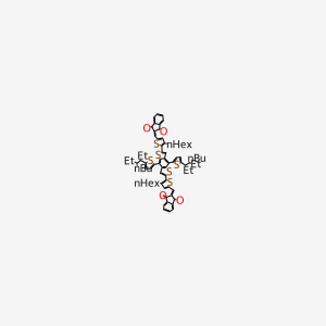 CCCCCCc1cc(C=C2C(=O)c3ccccc3C2=O)sc1-c1cc2c(-c3ccc(C(CC)C(CC)CCCC)s3)c3sc(-c4sc(C=C5C(=O)c6ccccc6C5=O)cc4CCCCCC)cc3c(-c3ccc(C(CC)C(CC)CCCC)s3)c2s1